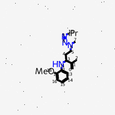 C=C(C)C(CCN(C)/N=N\C(C)C)Nc1ccccc1OC